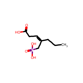 CCCC(=CCC(=O)O)CP(=O)(O)O